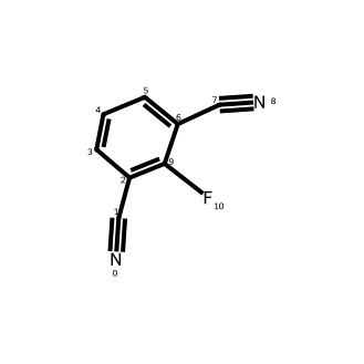 N#Cc1cccc(C#N)c1F